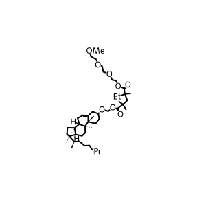 CCC(C)(CC(C)(C)C(=O)OCOC1CC[C@@]2(C)C(=CC[C@H]3[C@]4(C)CC[C@](C)([C@H](C)CCCC(C)C)[C@H]4CC[C@@]32C)C1)C(=O)OCCOCCOCCOC